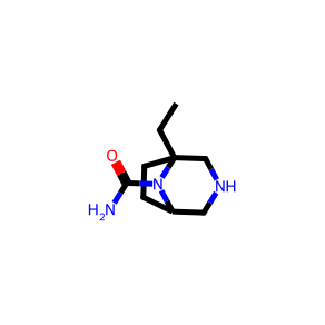 CCC12CCC(CNC1)N2C(N)=O